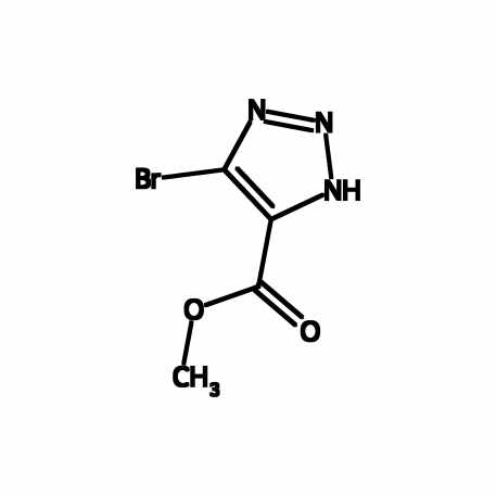 COC(=O)c1[nH]nnc1Br